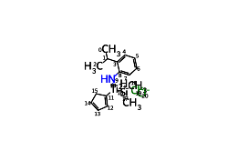 CC(C)c1ccccc1[NH][Ti+2]([C]1=CC=CC1)[SiH](C)C.[Cl-].[Cl-]